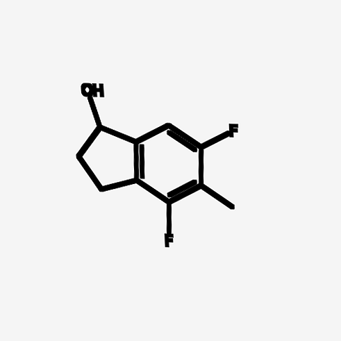 Cc1c(F)cc2c(c1F)CCC2O